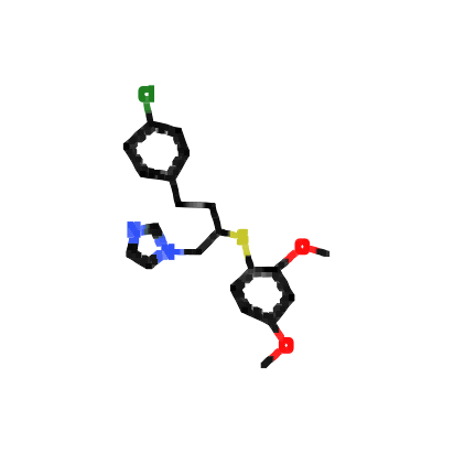 COc1ccc(SC(CCc2ccc(Cl)cc2)Cn2ccnc2)c(OC)c1